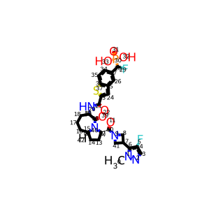 Cn1ncc(F)c1C1CN(C(=O)[C@@H]2CC[C@@H]3CCC[C@H](NC(=O)c4cc5cc(C(F)P(=O)(O)O)ccc5s4)C(=O)N32)C1